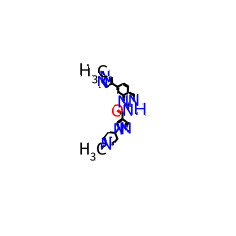 CN1CCC(n2cc(C(=O)Nc3ncc4ccc(-c5cnn(C)c5)cc4n3)cn2)CC1